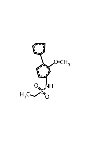 CCS(=O)(=O)Nc1ccc(-c2cc[c]cc2)c(OC)c1